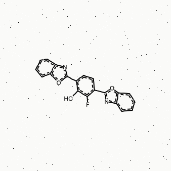 Oc1c(-c2nc3ccccc3o2)ccc(-c2nc3ccccc3o2)c1F